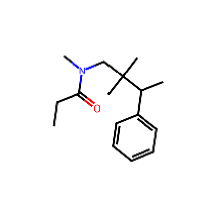 CCC(=O)N(C)CC(C)(C)C(C)c1ccccc1